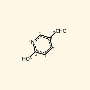 O=[C]c1ccc(O)nc1